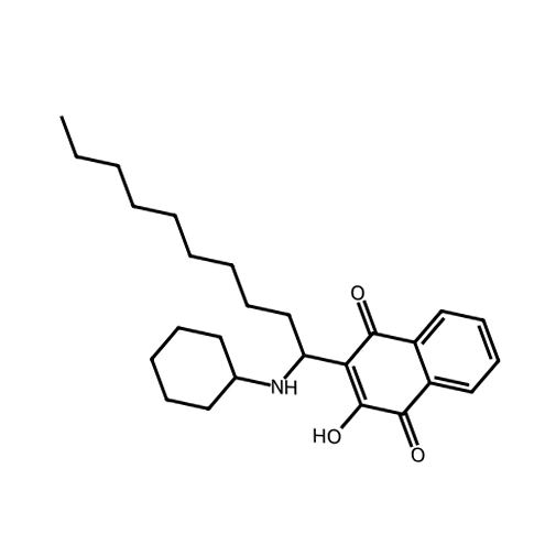 CCCCCCCCCC(NC1CCCCC1)C1=C(O)C(=O)c2ccccc2C1=O